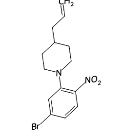 C=CCC1CCN(c2cc(Br)ccc2[N+](=O)[O-])CC1